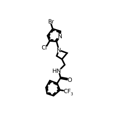 O=C(NCC1CN(c2ncc(Br)cc2Cl)C1)c1ccccc1C(F)(F)F